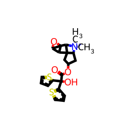 C[N+]1(C)C2CC(OC(=O)C(O)(c3cccs3)c3cccs3)CC23C2C4OC42C31